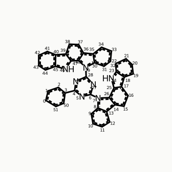 c1ccc(-c2nc(-n3c4ccccc4c4ccc5c6ccccc6[nH]c5c43)nc(-n3c4ccccc4c4ccc5c6ccccc6[nH]c5c43)n2)cc1